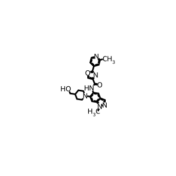 Cc1cc(-c2nc(C(=O)Nc3cc4cnn(C)c4cc3N3CCC(CO)CC3)co2)ccn1